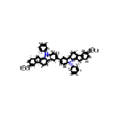 CC(C)(C)c1ccc2c(c1)-c1ccc3c4cc(-c5ccc6c(c5)c5ccc7c(c5n6-c5ccccc5)Cc5ccc(C(C)(C)C)cc5-7)ccc4n(-c4ccccc4)c3c1C2